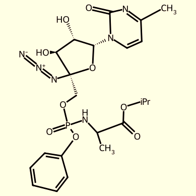 Cc1ccn([C@@H]2O[C@@](COP(=O)(NC(C)C(=O)OC(C)C)Oc3ccccc3)(N=[N+]=[N-])[C@@H](O)[C@@H]2O)c(=O)n1